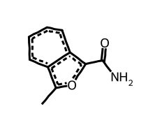 Cc1oc(C(N)=O)c2ccccc12